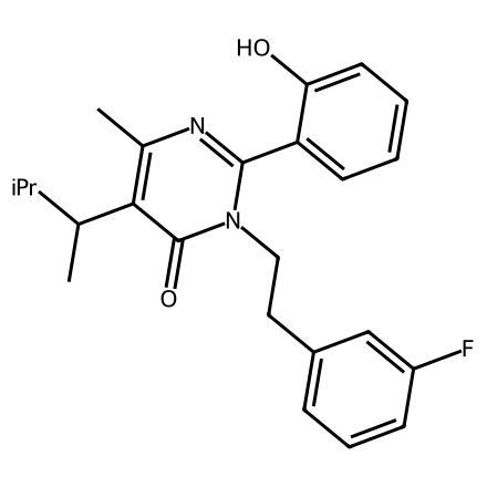 Cc1nc(-c2ccccc2O)n(CCc2cccc(F)c2)c(=O)c1C(C)C(C)C